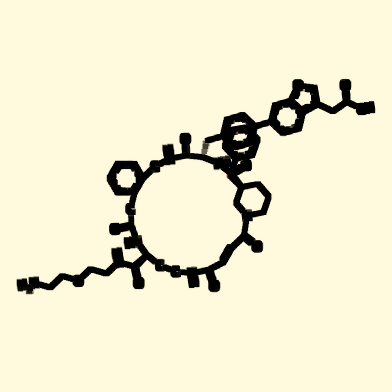 NCCOCCNC(=O)[C@@H]1CCNC(=O)/C=C/C(=O)N2CCC[C@](Cc3ccccc3)(C2)C(=O)N[C@@H](Cc2ccc(-c3ccc4c(CC(=O)O)coc4c3)cc2)C(=O)NCc2ccccc2CC(=O)N1